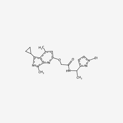 CCn1ccc(C(C)NC(=O)COc2cc(C)c3c(C4CC4)nn(C)c3n2)n1